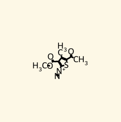 COC(=O)c1c([N+]#N)sc(C(C)=O)c1C